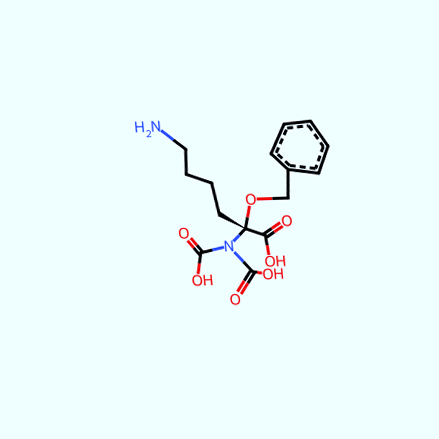 NCCCC[C@@](OCc1ccccc1)(C(=O)O)N(C(=O)O)C(=O)O